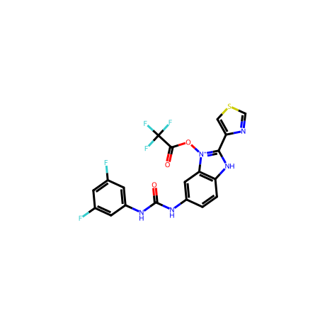 O=C(Nc1cc(F)cc(F)c1)Nc1ccc2[nH]c(-c3cscn3)[n+](OC(=O)C(F)(F)F)c2c1